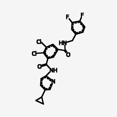 O=C(NCc1ccc(F)c(F)c1)c1cc(Cl)c(Cl)c(C(=O)Nc2ccc(C3CC3)cn2)c1